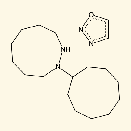 C1CCCCC(N2CCCCCCCN2)CCC1.c1conn1